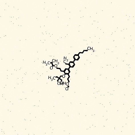 C=C(C)C(=O)OCCCc1cc(-c2ccc(-c3ccc(CCCCC)cc3)cc2CC)cc(CCCOC=O)c1OCC(CC)(CO)CO